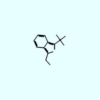 CCc1sc(C(C)(C)C)c2ccccc12